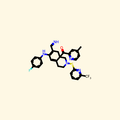 Cc1ccnc(C(=O)C23CC(C=N)=C(Nc4ccc(F)cc4)C=C2CCN(Sc2cccc(C(F)(F)F)n2)C3)c1